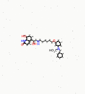 O=C(O)N(Cc1ccccc1)c1cccc(OCCCCCCNCC(O)c2ccc(O)c3[nH]c(=O)ccc23)c1